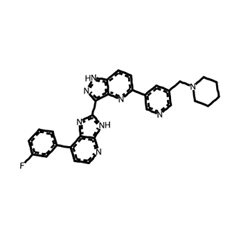 Fc1cccc(-c2ccnc3[nH]c(-c4n[nH]c5ccc(-c6cncc(CN7CCCCC7)c6)nc45)nc23)c1